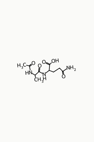 CC(=O)NC(C)C(=O)NC(CCC(N)=O)C(=O)O